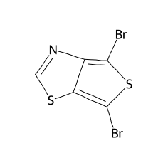 Brc1sc(Br)c2scnc12